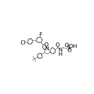 CC(C)(C)c1ccc(C(Cc2ccc(C(=O)NCCS(=O)(=O)O)cc2)c2cc(-c3cc(F)cc(-c4ccc(Cl)cc4)c3)on2)cc1